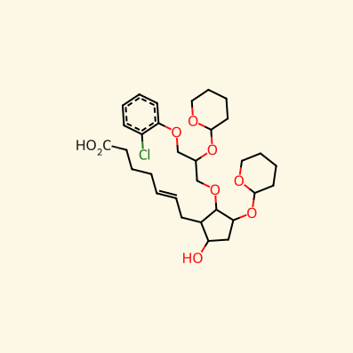 O=C(O)CCC/C=C/CC1C(O)CC(OC2CCCCO2)C1OCC(COc1ccccc1Cl)OC1CCCCO1